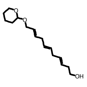 OCCC=CCC=CCC=CCOC1CCCCO1